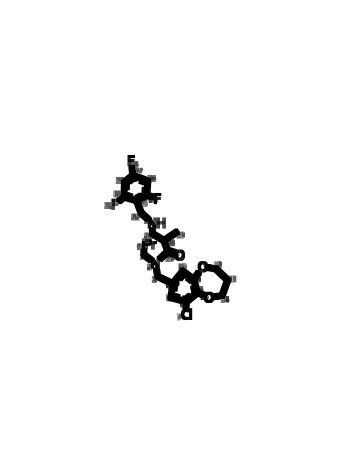 CC(C)CN(Cc1cc(Cl)c2c(c1)OCCCO2)C(=O)C(C)CNCc1c(F)cc(F)cc1F